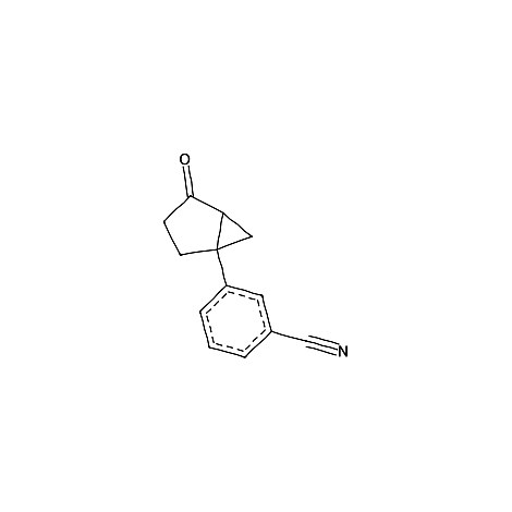 N#Cc1cccc(C23CCC(=O)C2C3)c1